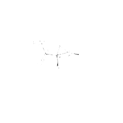 C[C@@H]1C[C@@]1(C)C(N)=O